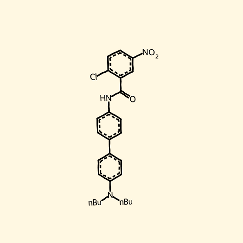 CCCCN(CCCC)c1ccc(-c2ccc(NC(=O)c3cc([N+](=O)[O-])ccc3Cl)cc2)cc1